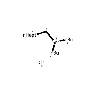 CCCCCCC[CH2][Sn+]([CH2]CCC)[CH2]CCC.[Cl-]